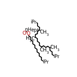 CC(C)CCCC(C)CCCC(C)CCCCC(C)CCCC(C)CCCC(C)C.CCCCCCCC(=O)OCCCCCCCCCCCCCC(C)C